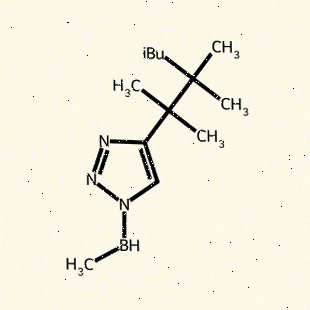 CBn1cc(C(C)(C)C(C)(C)C(C)CC)nn1